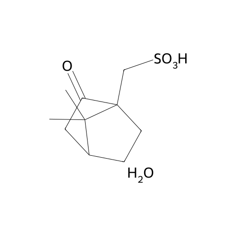 CC1(C)C2CCC1(CS(=O)(=O)O)C(=O)C2.O